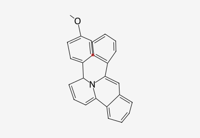 COc1ccc(C2C=CC=C3c4ccccc4C=C(c4ccccc4)N32)cc1